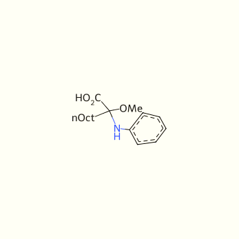 CCCCCCCCC(Nc1ccccc1)(OC)C(=O)O